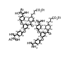 CCOC(=O)CCCC1CCN(C(=O)c2cc(Oc3ccc(C(=N)N(O)C(C)=O)cc3)cc(Oc3ccc(C(=N)N(O)C(C)=O)cc3)c2)CC1.CCOC(=O)CCCC1CCN(C(=O)c2cc(Oc3ccc(C(=N)N)cc3)cc(Oc3ccc(C(=N)N)cc3)c2)CC1